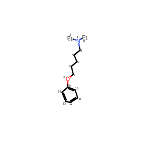 CCN(CC)CCCCCOc1ccccc1